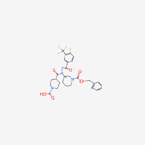 O=C(CN(C(=O)C1CCN(C(=O)O)CC1)[C@@H]1CCCN(C(=O)OCc2ccccc2)C1)c1ccc(F)c(C(F)(F)F)c1